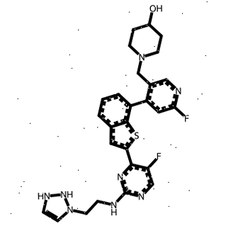 OC1CCN(Cc2cnc(F)cc2-c2cccc3cc(-c4nc(NCCN5C=CNN5)ncc4F)sc23)CC1